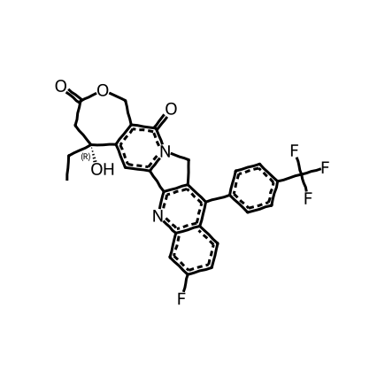 CC[C@@]1(O)CC(=O)OCc2c1cc1n(c2=O)Cc2c-1nc1cc(F)ccc1c2-c1ccc(C(F)(F)F)cc1